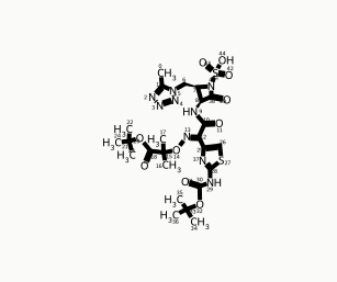 Cc1nnnn1C[C@@H]1[C@H](NC(=O)C(=NOC(C)(C)C(=O)OC(C)(C)C)c2csc(NC(=O)OC(C)(C)C)n2)C(=O)N1S(=O)(=O)O